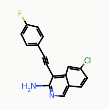 Nc1ncc2ccc(Cl)cc2c1C#Cc1ccc(F)cc1